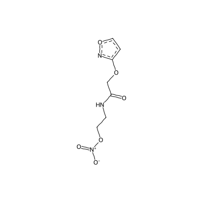 O=C(COc1ccon1)NCCO[N+](=O)[O-]